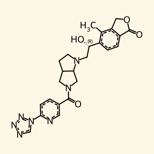 Cc1c([C@@H](O)CN2CCC3CN(C(=O)c4ccc(-n5cnnn5)nc4)CC32)ccc2c1COC2=O